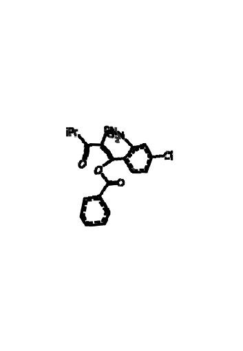 CC(C)C(=O)C(C#N)=C(OC(=O)c1ccccc1)c1ccc(Cl)cc1[N+](=O)[O-]